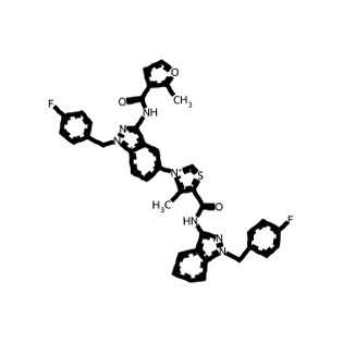 Cc1occc1C(=O)Nc1nn(Cc2ccc(F)cc2)c2ccc(-[n+]3csc(C(=O)Nc4nn(Cc5ccc(F)cc5)c5ccccc45)c3C)cc12